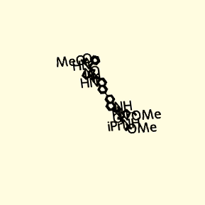 C=C(N[C@H](C(=O)N1C[C@@H](COC)C[C@H]1c1nc2c([nH]1)C1CC[C@H](C3=CCC4C(=C3)C=CC3N=C([C@@H]5CCCN5C(=O)[C@H](NC(=O)OC)c5ccccc5)NC34)C=C1C=C2)C(C)C)OC